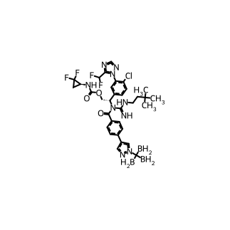 BC(B)(B)n1cc(-c2ccc(C(=O)N(C(=N)NCCC(C)(C)C)[C@H](COC(=O)N[C@H]3CC3(F)F)c3ccc(Cl)c(-n4ncnc4C(F)F)c3)cc2)cn1